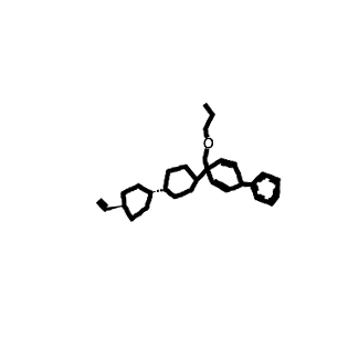 C=C[C@H]1CC[C@H](C2CCC(C3(COCCC)C=CC(c4ccccc4)C=C3)CC2)CC1